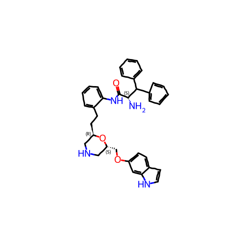 N[C@H](C(=O)Nc1ccccc1CC[C@@H]1CNC[C@@H](COc2ccc3cc[nH]c3c2)O1)C(c1ccccc1)c1ccccc1